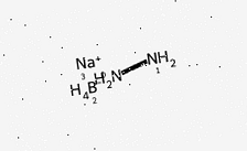 NN.[BH4-].[Na+]